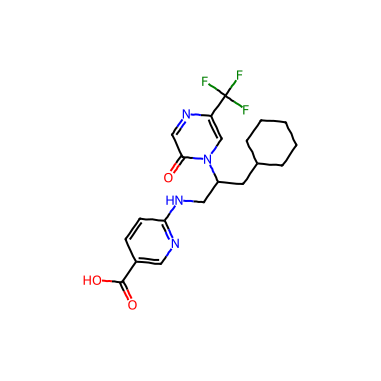 O=C(O)c1ccc(NCC(CC2CCCCC2)n2cc(C(F)(F)F)ncc2=O)nc1